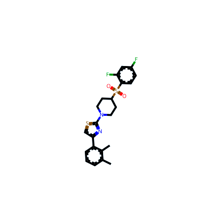 Cc1cccc(-c2csc(N3CCC(S(=O)(=O)c4ccc(F)cc4F)CC3)n2)c1C